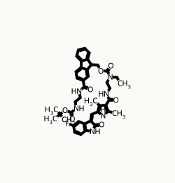 CCN(CCNC(=O)c1c(C)[nH]c(C=C2C(=O)Nc3ccc(F)cc32)c1C)C(=O)OCC1c2ccccc2-c2ccc(C(=O)NCCNC(=O)OC(C)(C)C)cc21